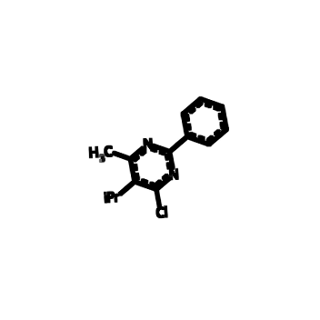 Cc1nc(-c2ccccc2)nc(Cl)c1C(C)C